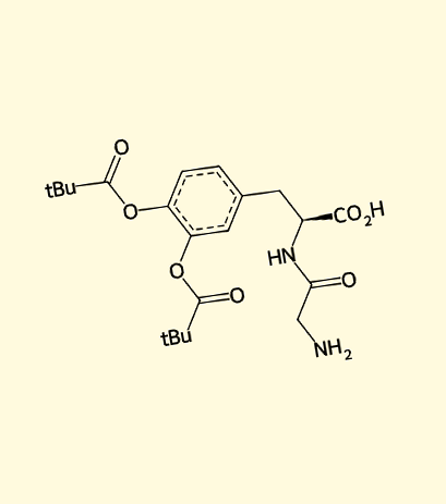 CC(C)(C)C(=O)Oc1ccc(C[C@H](NC(=O)CN)C(=O)O)cc1OC(=O)C(C)(C)C